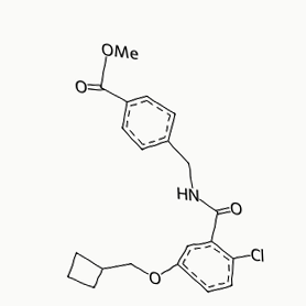 COC(=O)c1ccc(CNC(=O)c2cc(OCC3CCC3)ccc2Cl)cc1